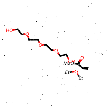 C=CC(=O)OC.CCOCC.OCCOCCOCCOCCO